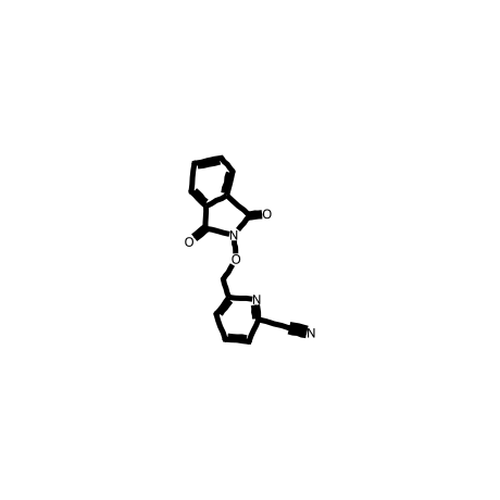 N#Cc1cccc(CON2C(=O)c3ccccc3C2=O)n1